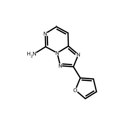 Nc1n[c]cc2nc(-c3ccco3)nn12